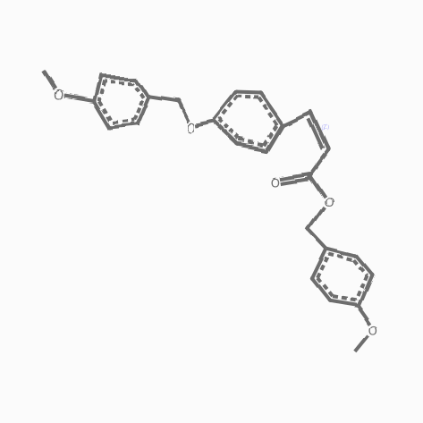 COc1ccc(COC(=O)/C=C\c2ccc(OCc3ccc(OC)cc3)cc2)cc1